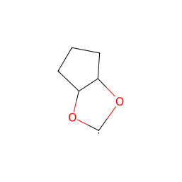 [CH]1OC2CCCC2O1